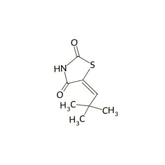 CC(C)(C)/C=C1/SC(=O)NC1=O